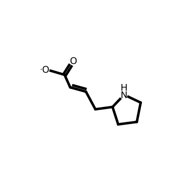 [O]C(=O)C=CCC1CCCN1